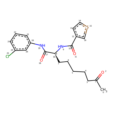 CC(=O)CCCCC[C@H](NC(=O)c1ccsc1)C(=O)Nc1cccc(Cl)c1